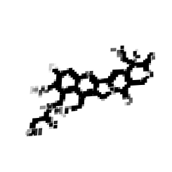 CCc1c2c(nc3cc(F)c(C)c(CNC(=O)CO)c13)-c1cc3c(c(=O)n1C2)COC(=O)[C@]3(O)CC